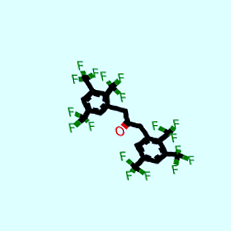 O=C(Cc1cc(C(F)(F)F)cc(C(F)(F)F)c1C(F)(F)F)Cc1cc(C(F)(F)F)cc(C(F)(F)F)c1C(F)(F)F